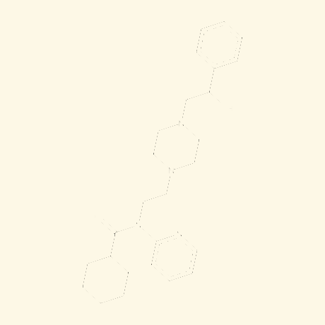 O=C(C1CCCCC1)N(CCN1CCN(CC(O)c2ccccc2)CC1)c1ccccn1